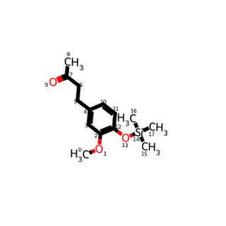 COc1cc(CCC(C)=O)ccc1O[Si](C)(C)C